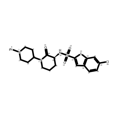 CC(C)N1CCC(N2CCC[C@H](NS(=O)(=O)c3cc4ccc(Cl)cc4s3)C2=O)CC1